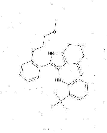 COCCOc1cnccc1-c1[nH]c2c(c1Nc1ccccc1C(F)(F)F)C(=O)CNC2